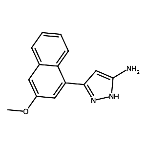 COc1cc(-c2cc(N)[nH]n2)c2ccccc2c1